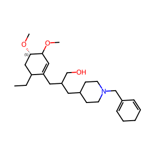 CCC1C[C@H](OC)C(OC)C=C1CC(CO)CC1CCN(CC2=CCCC=C2)CC1